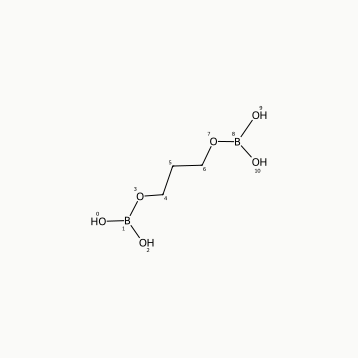 OB(O)OCCCOB(O)O